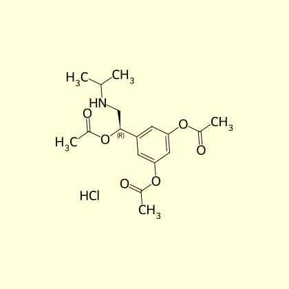 CC(=O)Oc1cc(OC(C)=O)cc([C@H](CNC(C)C)OC(C)=O)c1.Cl